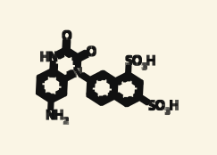 Nc1ccc2[nH]c(=O)c(=O)n(-c3ccc4cc(S(=O)(=O)O)cc(S(=O)(=O)O)c4c3)c2c1